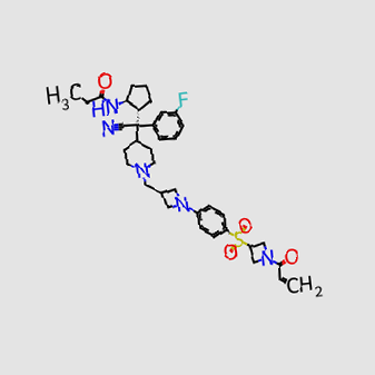 C=CC(=O)N1CC(S(=O)(=O)c2ccc(N3CC(CN4CCC(C(C#N)(c5cccc(F)c5)[C@H]5CCC[C@@H]5NC(=O)CC)CC4)C3)cc2)C1